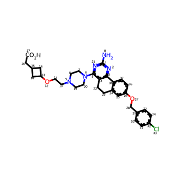 Nc1nc2c(c(N3CCN(CCOC4CC(CC(=O)O)C4)CC3)n1)CCc1cc(OCc3ccc(Cl)cc3)ccc1-2